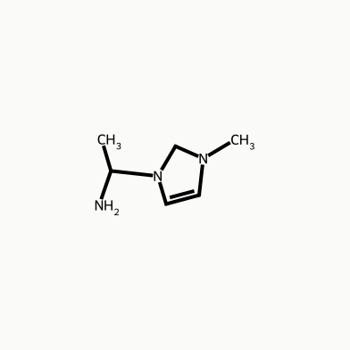 CC(N)N1C=CN(C)C1